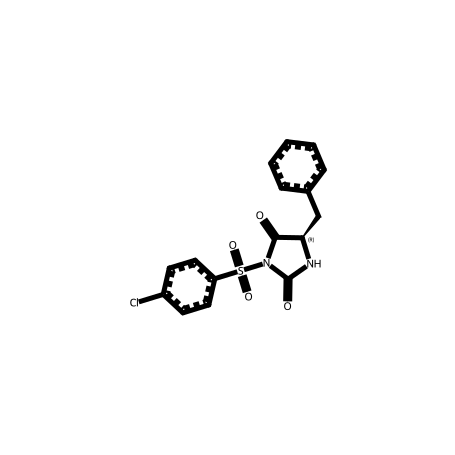 O=C1N[C@H](Cc2ccccc2)C(=O)N1S(=O)(=O)c1ccc(Cl)cc1